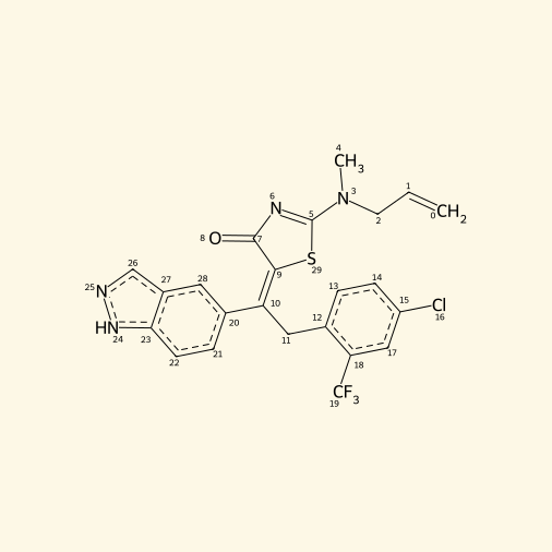 C=CCN(C)C1=NC(=O)C(=C(Cc2ccc(Cl)cc2C(F)(F)F)c2ccc3[nH]ncc3c2)S1